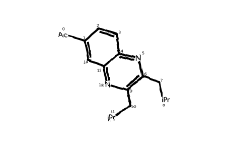 CC(=O)c1ccc2nc(CC(C)C)c(CC(C)C)nc2c1